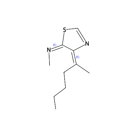 CCCC/C(C)=C1/N=CS/C1=N/C